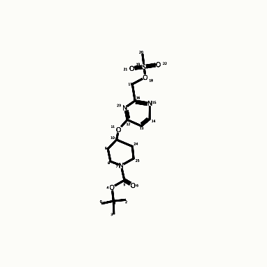 CC(C)(C)OC(=O)N1CCC(Oc2ccnc(COS(C)(=O)=O)n2)CC1